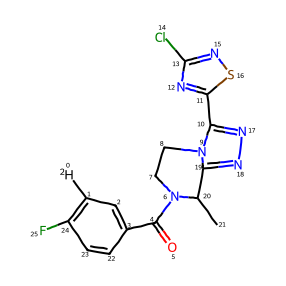 [2H]c1cc(C(=O)N2CCn3c(-c4nc(Cl)ns4)nnc3C2C)ccc1F